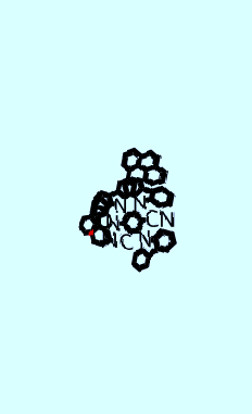 N#Cc1c(-n2c3ccccc3c3ccccc32)c(C#N)c(-n2c3ccccc3c3ccccc32)c(-n2c3ccc(-c4cccc5ccc6ccccc6c45)cc3c3ccc4c5ccccc5oc4c32)c1-n1c2ccccc2c2ccccc21